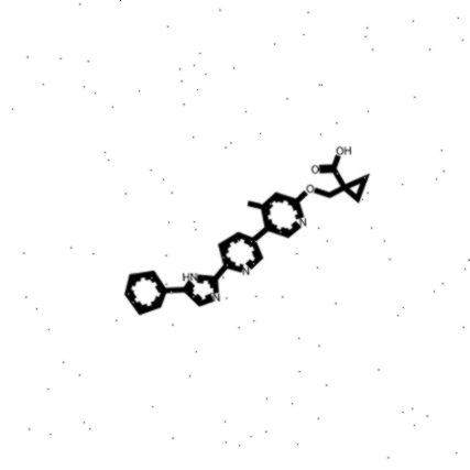 Cc1cc(OCC2(C(=O)O)CC2)ncc1-c1ccc(-c2ncc(-c3ccccc3)[nH]2)nc1